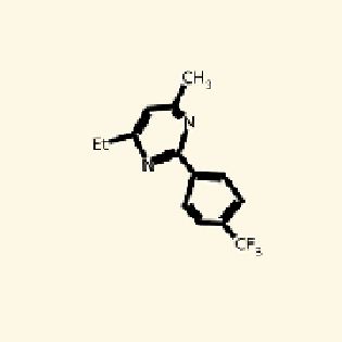 CCc1cc(C)nc(-c2ccc(C(F)(F)F)cc2)n1